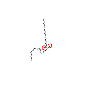 CCCCC/C=C\C/C=C\C/C=C\C/C=C\CCC([C]=O)C(=O)CCCCCCCCCCCCCCCCC